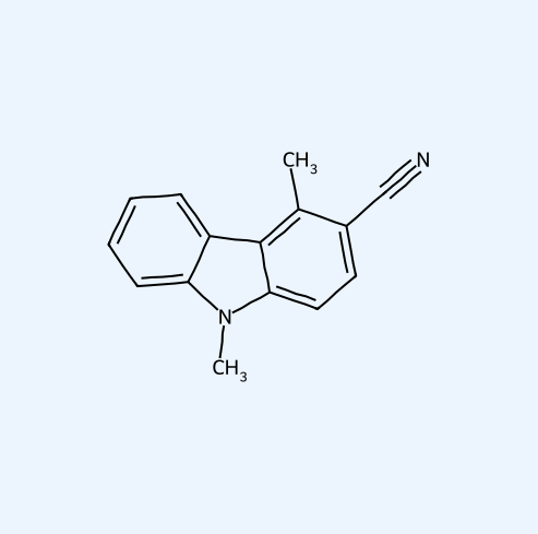 Cc1c(C#N)ccc2c1c1ccccc1n2C